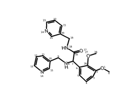 COc1cccc(C(NCc2cccnc2)C(=O)NCc2cccnc2)c1OC